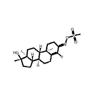 C[C@]12CC/C(=N\OS(C)(=O)=O)C(F)=C1CC[C@@H]1[C@@H]2CC[C@@]2(C)[C@H]1CC[C@]2(C)O